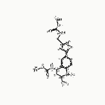 CC(=O)N1c2ccc(-c3nc(CNC(=O)OC(C)(C)C)no3)cc2[C@H](NC(=O)OC(C)C)C[C@@H]1C